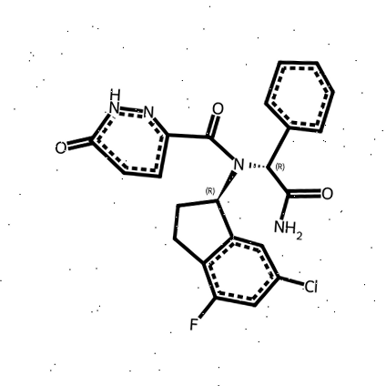 NC(=O)[C@@H](c1ccccc1)N(C(=O)c1ccc(=O)[nH]n1)[C@@H]1CCc2c(F)cc(Cl)cc21